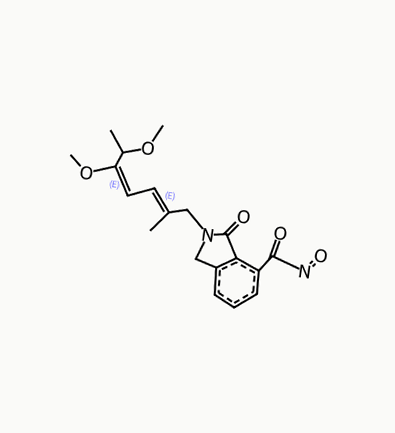 CO/C(=C/C=C(\C)CN1Cc2cccc(C(=O)N=O)c2C1=O)C(C)OC